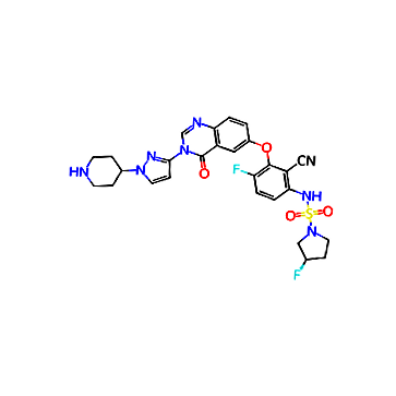 N#Cc1c(NS(=O)(=O)N2CC[C@@H](F)C2)ccc(F)c1Oc1ccc2ncn(-c3ccn(C4CCNCC4)n3)c(=O)c2c1